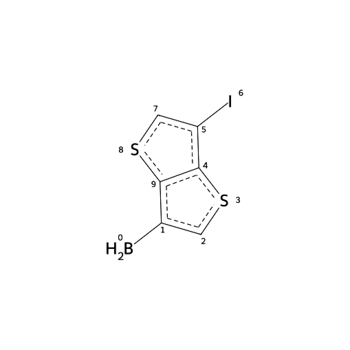 Bc1csc2c(I)csc12